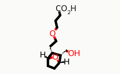 O=C(O)CCCOCC[C@@H]1[C@H](CO)[C@@H]2CC[C@H]1O2